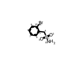 NS(=O)(=O)Cc1ccccc1Br